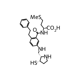 CSCC[C@H](NC(=O)c1cc(NC[C@@H]2NCC[C@@H]2S)ccc1CCc1ccccc1)C(=O)O